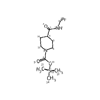 CC(C)NC(=O)C1CCN(C(=O)O[Si](C)(C)C)CC1